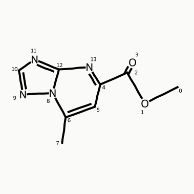 COC(=O)c1cc(C)n2ncnc2n1